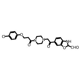 O=CC1Nc2ccc(C(=O)CN3CCN(C(=O)CCOc4ccc(Cl)cc4)CC3)cc2O1